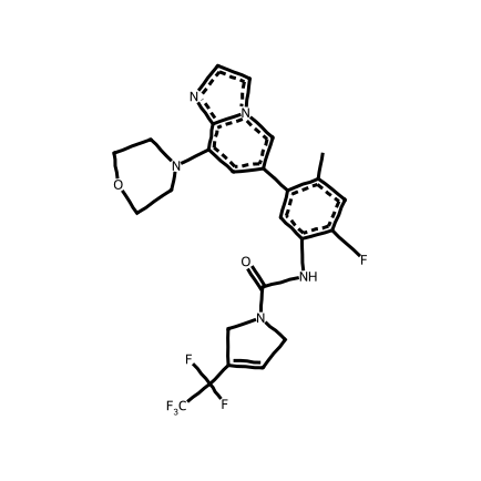 Cc1cc(F)c(NC(=O)N2CC=C(C(F)(F)C(F)(F)F)C2)cc1-c1cc(N2CCOCC2)c2nccn2c1